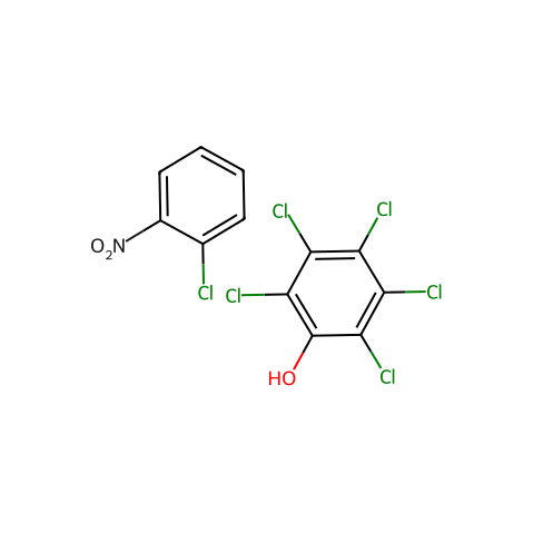 O=[N+]([O-])c1ccccc1Cl.Oc1c(Cl)c(Cl)c(Cl)c(Cl)c1Cl